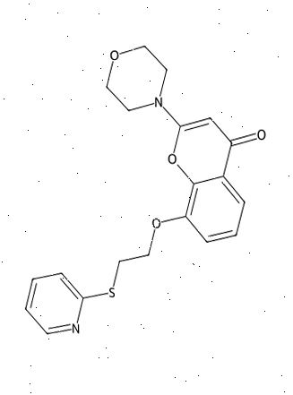 O=c1cc(N2CCOCC2)oc2c(OCCSc3ccccn3)cccc12